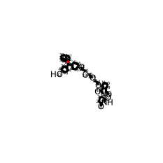 O=C1CCC(N2C(=O)c3cccc(OCCOCCOCCOc4ccc(C(=C5C6CC7CC(C6)CC5C7)c5ccc(O)cc5)cc4)c3C2=O)C(=O)N1